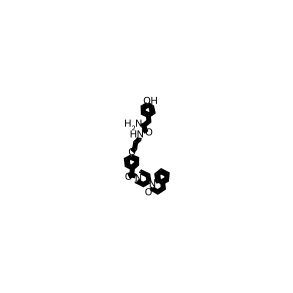 N[C@@H](Cc1ccc(O)cc1)C(=O)NCCCOc1ccc(C(=O)N2CCC(N3C(=O)CCc4ccccc43)CC2)cc1